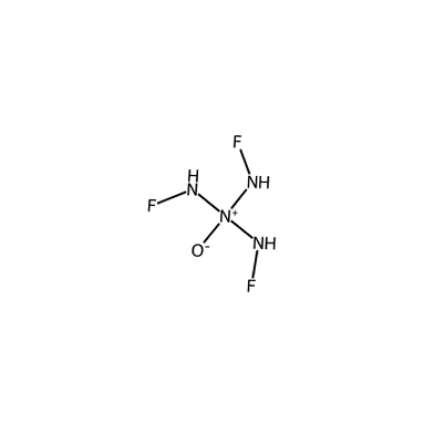 [O-][N+](NF)(NF)NF